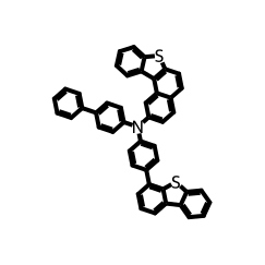 c1ccc(-c2ccc(N(c3ccc(-c4cccc5c4sc4ccccc45)cc3)c3ccc4ccc5sc6ccccc6c5c4c3)cc2)cc1